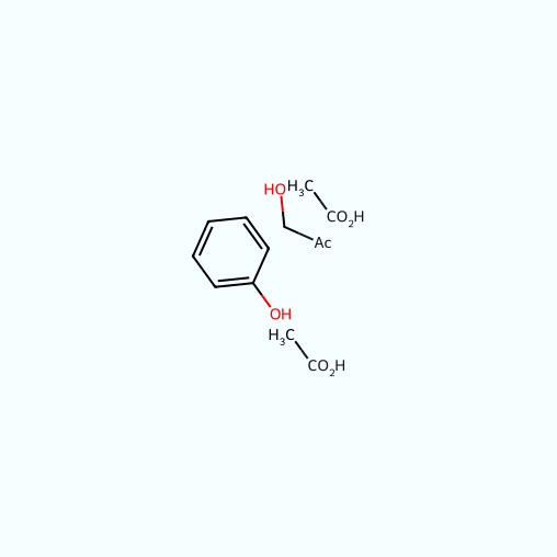 CC(=O)CO.CC(=O)O.CC(=O)O.Oc1ccccc1